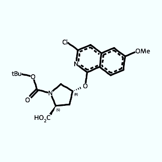 COc1ccc2c(O[C@@H]3C[C@@H](C(=O)O)N(C(=O)OC(C)(C)C)C3)nc(Cl)cc2c1